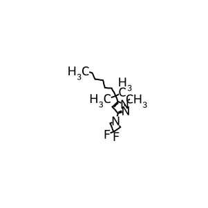 CCCCCCC(C)(C)c1cc(N2CC(F)(F)C2)nn1C